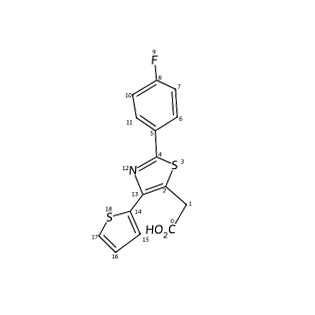 O=C(O)Cc1sc(-c2ccc(F)cc2)nc1-c1cccs1